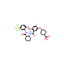 COc1cc(F)c(OC2CCC(C(=O)O)CC2)cc1C(=O)NC1CCCCC1C(=O)Nc1cccc(S(F)(F)(F)(F)F)c1